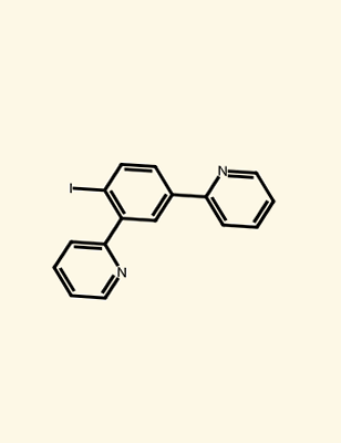 Ic1ccc(-c2ccccn2)cc1-c1ccccn1